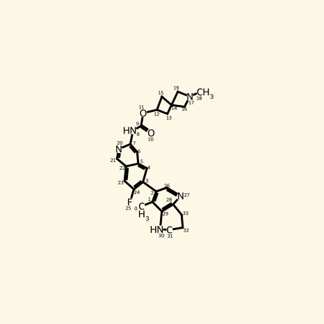 Cc1c(-c2cc3cc(NC(=O)OC4CC5(C4)CN(C)C5)ncc3cc2F)cnc2c1NCCC2